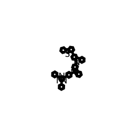 c1ccc(-c2nc(-c3ccccc3)nc(-c3ccc(-n4c5ccccc5c5cc(-n6c7ccccc7c7cc(-c8cccc9c8sc8ccccc89)ccc76)ccc54)cc3)n2)cc1